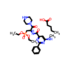 CCCCC(=O)O.CCOP(=O)(CC(NC(=O)c1cc(NC)nc(-c2ccccc2)n1)C(=O)N1CCNCC1)OCC